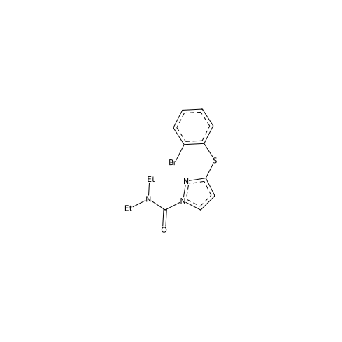 CCN(CC)C(=O)n1ccc(Sc2ccccc2Br)n1